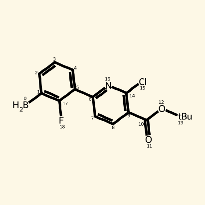 Bc1cccc(-c2ccc(C(=O)OC(C)(C)C)c(Cl)n2)c1F